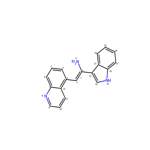 N/C(=C\c1cccc2ncccc12)c1c[nH]c2ccccc12